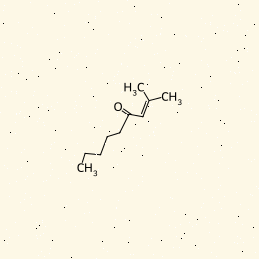 CCCCCC(=O)C=C(C)C